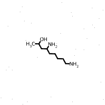 CC(O)CC(N)CCCCCN